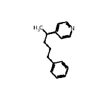 CC(CCCc1ccccc1)c1ccncc1